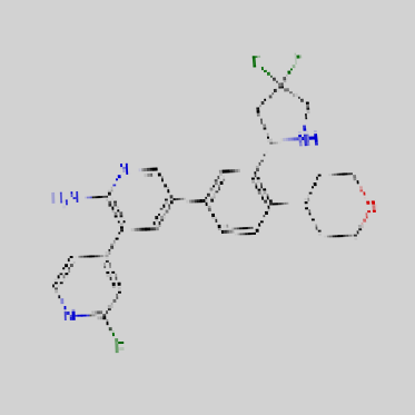 Nc1ncc(-c2ccc(C3CCOCC3)c([C@@H]3CC(F)(F)CN3)c2)cc1-c1ccnc(F)c1